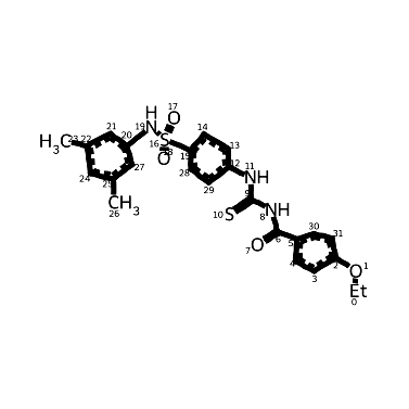 CCOc1ccc(C(=O)NC(=S)Nc2ccc(S(=O)(=O)Nc3cc(C)cc(C)c3)cc2)cc1